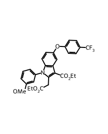 CCOC(=O)Cc1c(C(=O)OCC)c2cc(Oc3ccc(C(F)(F)F)cc3)ccc2n1-c1cccc(OC)c1